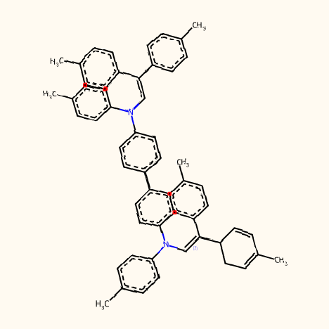 CC1=CCC(/C(=C/N(c2ccc(C)cc2)c2ccc(-c3ccc(N(C=C(c4ccc(C)cc4)c4ccc(C)cc4)c4ccc(C)cc4)cc3)cc2)c2ccc(C)cc2)C=C1